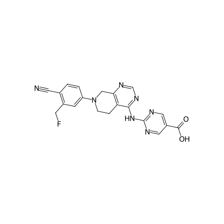 N#Cc1ccc(N2CCc3c(ncnc3Nc3ncc(C(=O)O)cn3)C2)cc1CF